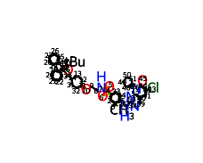 Cc1cc(S(=O)(=O)NCCOC2CCC(CO[Si](c3ccccc3)(c3ccccc3)C(C)(C)C)CC2)ccc1Nc1ncc2cc(Cl)c(=O)n(C3CCCC3)c2n1